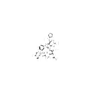 CC(C)OC(=O)[C@H](C)NP(=O)(CC(=O)N(C)C[C@H]1O[C@@H](n2cnc3c(NC4CCCC4)nc(Cl)nc32)[C@H](O)[C@@H]1OC(=O)C(C)C)Oc1ccccc1